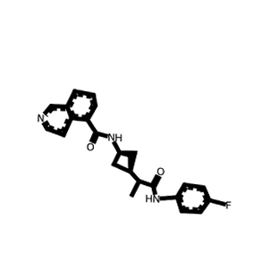 CC(C(=O)Nc1ccc(F)cc1)C12CC(NC(=O)c3cccc4cnccc34)(C1)C2